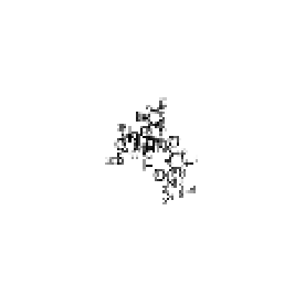 CCCN(CCC)C(=O)c1cc(C)cc(C(=O)N[C@@H](Cc2cc(F)cc(F)c2)[C@@H](O)[C@H](O)[C@@H](CCSC)NC(C)=O)c1